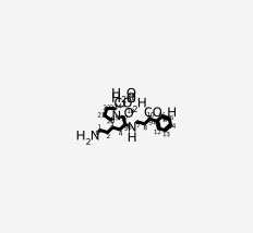 NCCCCC(NCCC(C(=O)O)c1ccccc1)C(=O)N1CCCC1C(=O)O.O.O